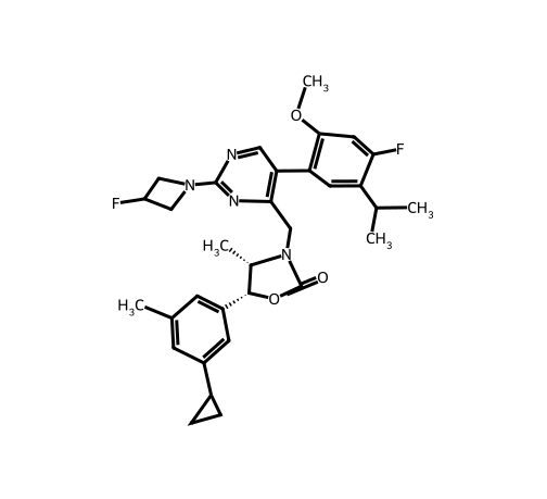 COc1cc(F)c(C(C)C)cc1-c1cnc(N2CC(F)C2)nc1CN1C(=O)O[C@H](c2cc(C)cc(C3CC3)c2)[C@@H]1C